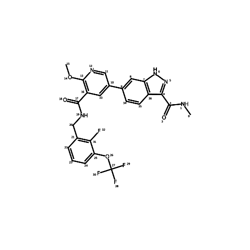 CNC(=O)c1n[nH]c2cc(-c3cnc(OC)c(C(=O)NCc4cccc(OC(F)(F)F)c4F)c3)ccc12